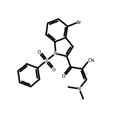 CN(C)/C=C(/C#N)C(=O)c1cc2c(Br)cccc2n1S(=O)(=O)c1ccccc1